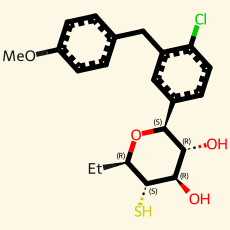 CC[C@H]1O[C@@H](c2ccc(Cl)c(Cc3ccc(OC)cc3)c2)[C@H](O)[C@@H](O)[C@@H]1S